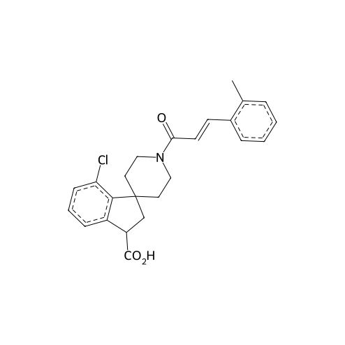 Cc1ccccc1/C=C/C(=O)N1CCC2(CC1)CC(C(=O)O)c1cccc(Cl)c12